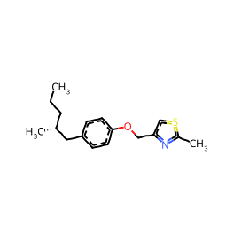 CCC[C@@H](C)Cc1ccc(OCc2csc(C)n2)cc1